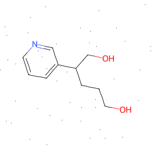 OCCCC(CO)c1cccnc1